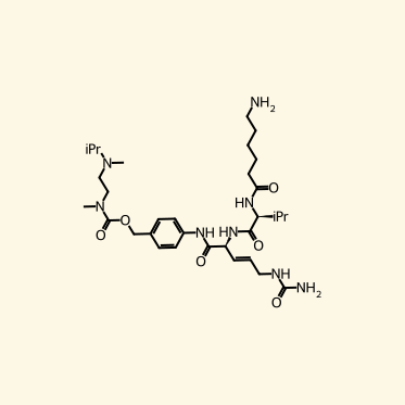 CC(C)[C@H](NC(=O)CCCCCN)C(=O)N[C@@H](/C=C/CNC(N)=O)C(=O)Nc1ccc(COC(=O)N(C)CCN(C)C(C)C)cc1